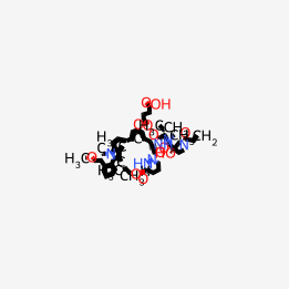 C=CC(=O)N1CC[C@](O)(C(=O)N(C)[C@H](C(=O)N[C@H]2Cc3cc(OC(=O)CCC(=O)O)cc(c3)-c3ccc4c(c3)c(c(-c3ccccc3CCOC)n4CC)CC(C)(C)COC(=O)[C@@H]3CCCN(N3)C2=O)C(C)C)C1